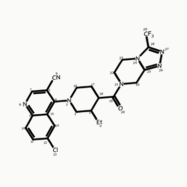 CCC1CN(c2c(C#N)cnc3ccc(Cl)cc23)CCC1C(=O)N1CCn2c(nnc2C(F)(F)F)C1